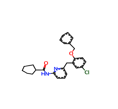 O=C(Nc1cccc(Cc2cc(Cl)ccc2OCc2ccccc2)n1)C1CCCCC1